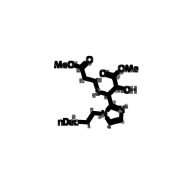 CCCCCCCCCCCCn1ccnc1C(SCCC(=O)OC)C(O)C(=O)OC